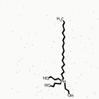 CCCCCCCCCCCCCCCCCC[PH](CCCO)(CCCO)CCCO